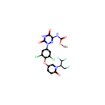 CC(C)(C)OC(=O)Nc1nn(-c2cc(Cl)c(Oc3ccc(=O)n(C(CF)C(F)F)c3)c(Cl)c2)c(=O)[nH]c1=O